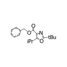 CC(C)c1oc(C(C)(C)C)nc1C(=O)OCc1ccccc1